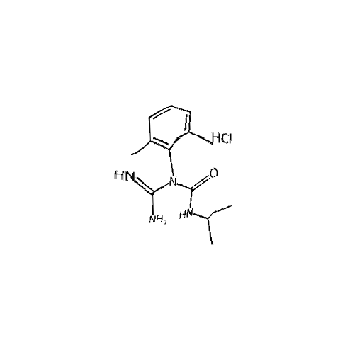 Cc1cccc(C)c1N(C(=N)N)C(=O)NC(C)C.Cl